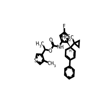 Cc1cscc1C(C)OC(=O)Nc1cc(F)sc1[C@@]1(C2(C(=O)O)CC2)C=CC(c2ccccc2)=CC1